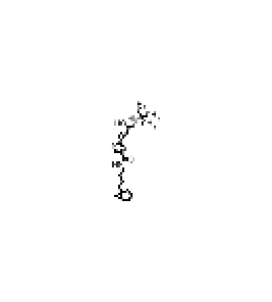 CC(C)(C)NCC(O)COc1ncc(C(=O)NCCCCC23CCCC2C3)s1